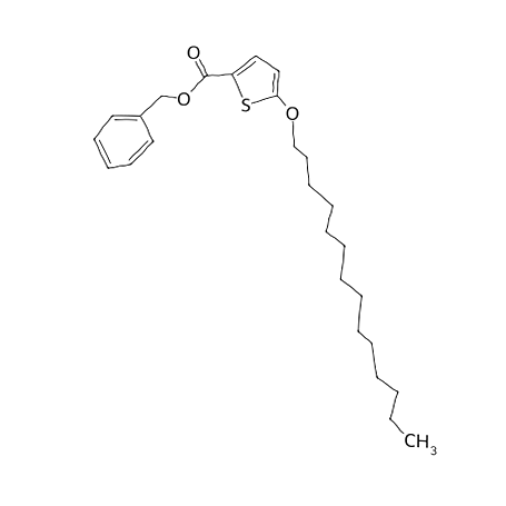 CCCCCCCCCCCCCCOc1ccc(C(=O)OCc2ccccc2)s1